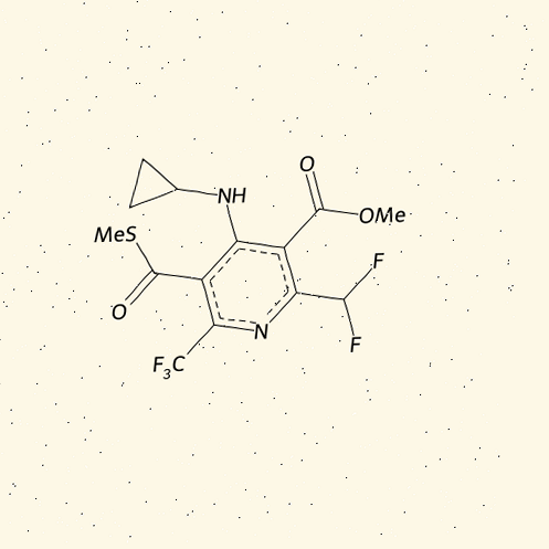 COC(=O)c1c(C(F)F)nc(C(F)(F)F)c(C(=O)SC)c1NC1CC1